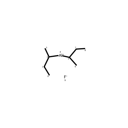 CC[CH](C)[Al+][CH](C)CC.[F-]